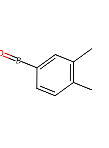 Cc1ccc(B=O)cc1C